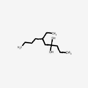 CCCCC(CC)CC(O)(O)CCC